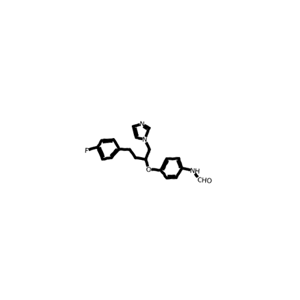 O=CNc1ccc(OC(CCc2ccc(F)cc2)Cn2ccnc2)cc1